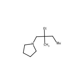 CCC(C)CC(C)(CC)CN1CCCC1